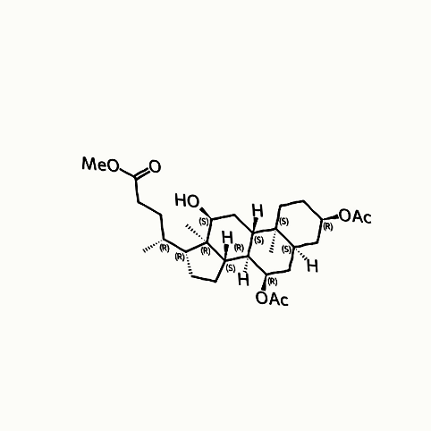 COC(=O)CC[C@@H](C)[C@H]1CC[C@H]2[C@@H]3[C@H](OC(C)=O)C[C@@H]4C[C@H](OC(C)=O)CC[C@]4(C)[C@H]3C[C@H](O)[C@]12C